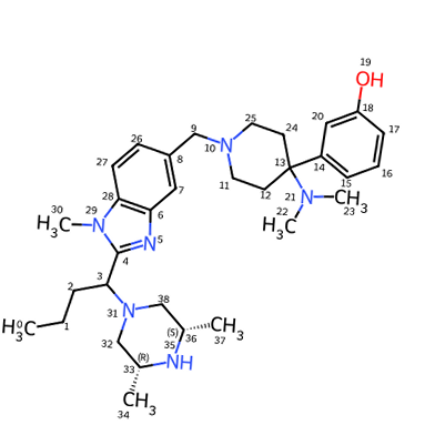 CCCC(c1nc2cc(CN3CCC(c4cccc(O)c4)(N(C)C)CC3)ccc2n1C)N1C[C@@H](C)N[C@@H](C)C1